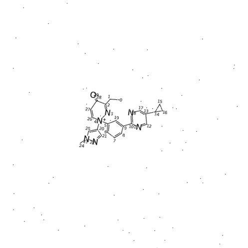 CCC1=N[N+](c2cccc(-c3ncc(C4CC4)cn3)c2)(c2cnn(C)c2)C=CC1=O